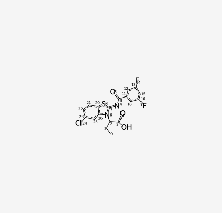 CCC(C(=O)O)n1c(=NC(=O)c2cc(F)cc(F)c2)sc2ccc(Cl)cc21